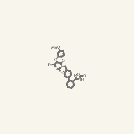 CCCc1nc(CC)c(Oc2cccc(OC)c2)c(=O)n1Cc1ccc(-c2ccccc2-c2noc(=O)[nH]2)cc1